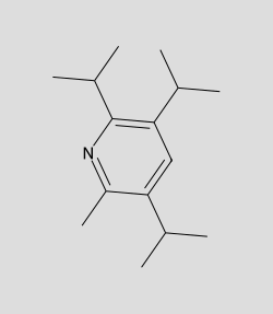 Cc1nc(C(C)C)c(C(C)C)cc1C(C)C